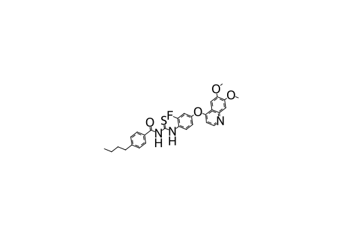 CCCCc1ccc(C(=O)NC(=S)Nc2ccc(Oc3ccnc4cc(OC)c(OC)cc34)cc2F)cc1